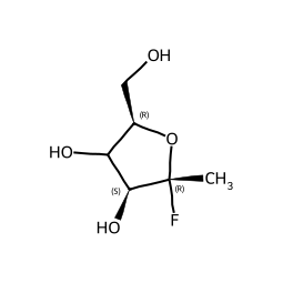 C[C@]1(F)O[C@H](CO)C(O)[C@@H]1O